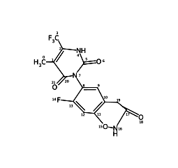 Cc1c(C(F)(F)F)[nH]c(=O)n(-c2cc3c(cc2F)ONC(=O)C3)c1=O